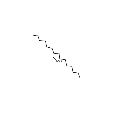 CCCCCCCCC.CCCCCCCCCCCCCCC